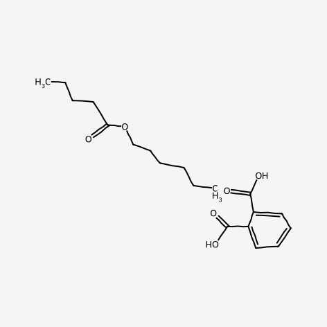 CCCCCCOC(=O)CCCC.O=C(O)c1ccccc1C(=O)O